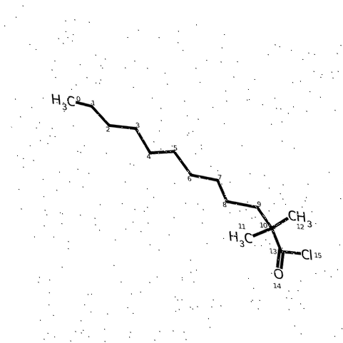 CCCCCCCCCCC(C)(C)C(=O)Cl